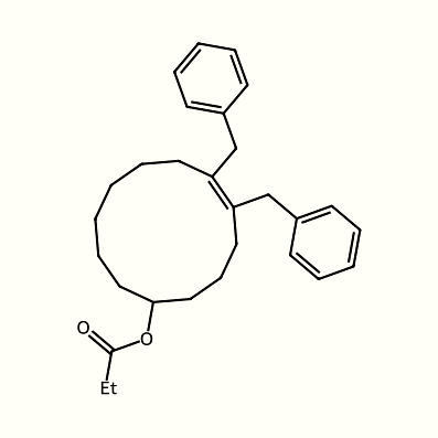 CCC(=O)OC1CCCCCCC(Cc2ccccc2)=C(Cc2ccccc2)CCC1